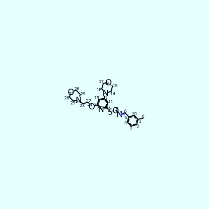 Cc1cccc(/C=N/OSc2cc(N3CCOCC3)cc(OCCN3CCOCC3)n2)c1